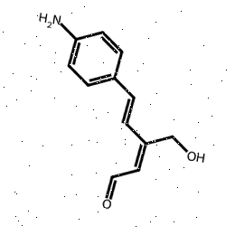 Nc1ccc(/C=C/C(=C\C=O)CO)cc1